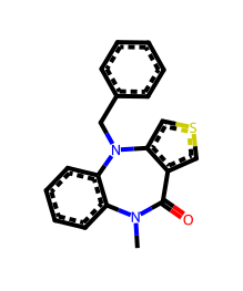 CN1C(=O)c2cscc2N(Cc2ccccc2)c2ccccc21